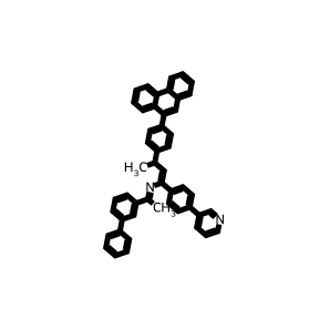 C/C(=N\C(=C/C(C)c1ccc(-c2cc3ccccc3c3ccccc23)cc1)c1ccc(-c2cccnc2)cc1)c1cccc(-c2ccccc2)c1